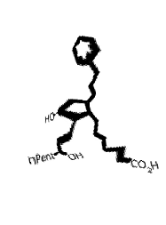 CCCCC[C@H](O)/C=C/[C@@H]1C(CCCCCCC(=O)O)=C(CCCc2ccccc2)C[C@H]1O